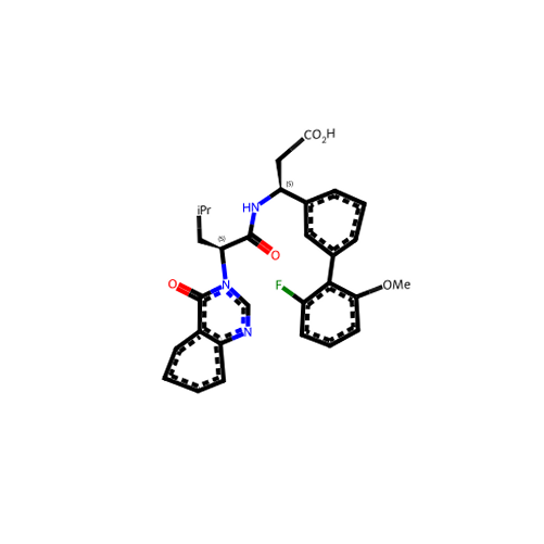 COc1cccc(F)c1-c1cccc([C@H](CC(=O)O)NC(=O)[C@H](CC(C)C)n2cnc3ccccc3c2=O)c1